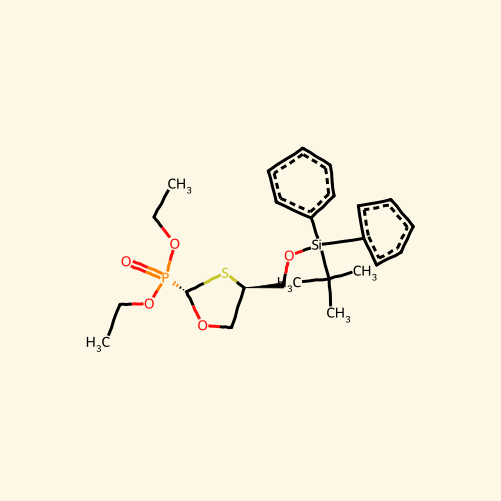 CCOP(=O)(OCC)[C@H]1OC[C@H](CO[Si](c2ccccc2)(c2ccccc2)C(C)(C)C)S1